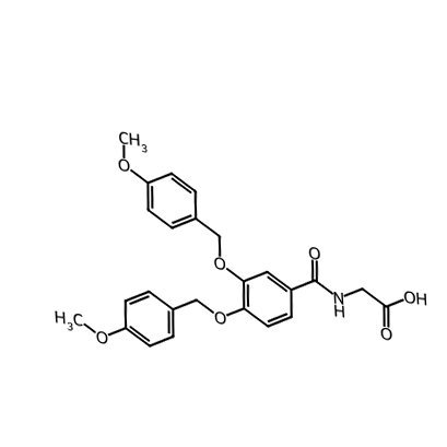 COc1ccc(COc2ccc(C(=O)NCC(=O)O)cc2OCc2ccc(OC)cc2)cc1